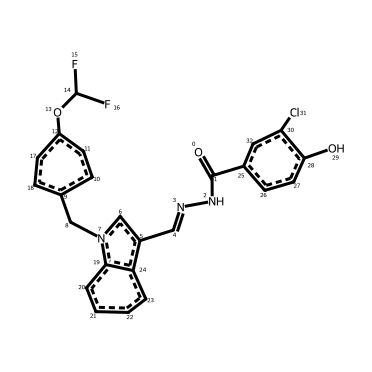 O=C(N/N=C/c1cn(Cc2ccc(OC(F)F)cc2)c2ccccc12)c1ccc(O)c(Cl)c1